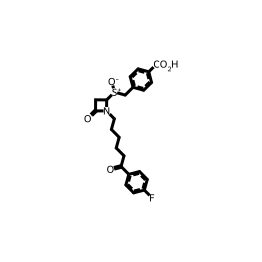 O=C(O)c1ccc(C[S+]([O-])C2CC(=O)N2CCCCCC(=O)c2ccc(F)cc2)cc1